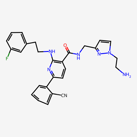 N#Cc1ccccc1-c1ccc(C(=O)NCc2ccn(CCN)n2)c(NCCc2cccc(F)c2)n1